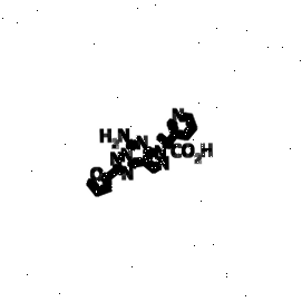 CC(C(=O)O)(c1cccnc1)n1ncc2c1nc(N)n1nc(-c3ccco3)nc21